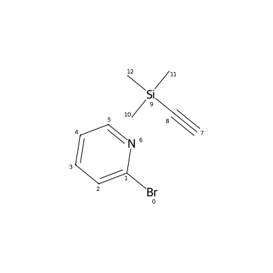 Brc1ccccn1.C#C[Si](C)(C)C